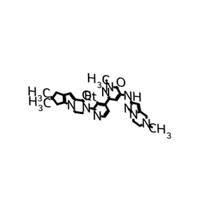 CCc1c(-c2cc(Nc3cc4n(n3)CCN(C)C4)c(=O)n(C)n2)ccnc1N1CCn2c(cc3c2CC(C)(C)C3)C1=O